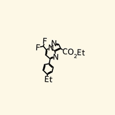 CCOC(=O)c1cnn2c(C(F)F)cc(-c3ccc(CC)cc3)nc12